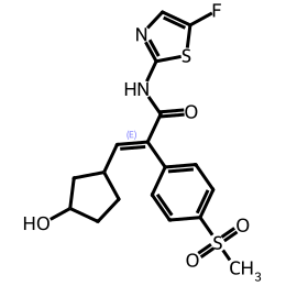 CS(=O)(=O)c1ccc(/C(=C\C2CCC(O)C2)C(=O)Nc2ncc(F)s2)cc1